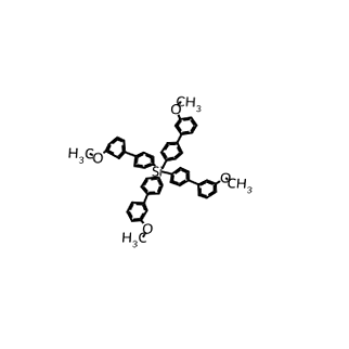 COc1cccc(-c2ccc([Si](c3ccc(-c4cccc(OC)c4)cc3)(c3ccc(-c4cccc(OC)c4)cc3)c3ccc(-c4cccc(OC)c4)cc3)cc2)c1